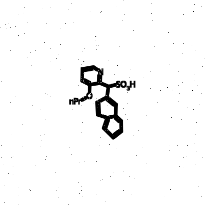 CCCOc1cccnc1C(c1ccc2ccccc2c1)S(=O)(=O)O